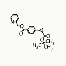 CC(C)(C)OC(=O)C1CC1c1ccc(C(=O)OCc2ccccn2)cc1